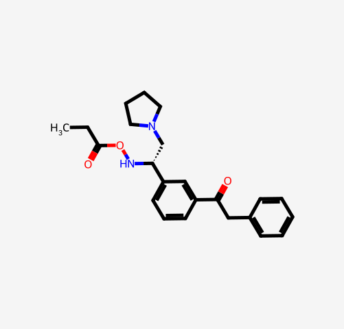 CCC(=O)ON[C@H](CN1CCCC1)c1cccc(C(=O)Cc2ccccc2)c1